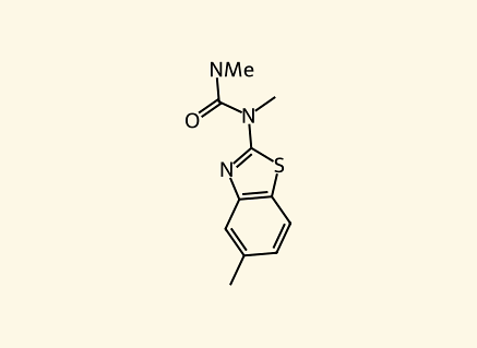 CNC(=O)N(C)c1nc2cc(C)ccc2s1